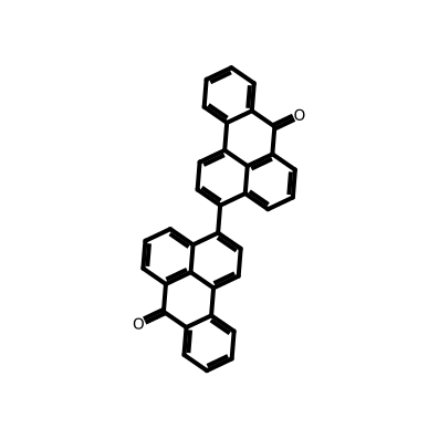 O=C1c2ccccc2-c2ccc(-c3ccc4c5c(cccc35)C(=O)c3ccccc3-4)c3cccc1c23